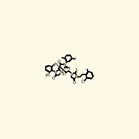 CC[N+]1([N+]2(CCN3CC(=O)N(CCc4c(C)cccc4Cl)C3=S)CC(=O)N(c3cc(F)ccc3C)C2=S)CC(=O)N(c2c(C(C)C)cccc2C(C)C)C1=S